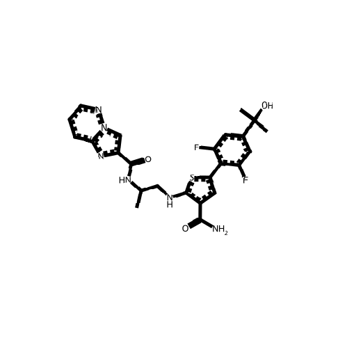 CC(CNc1sc(-c2c(F)cc(C(C)(C)O)cc2F)cc1C(N)=O)NC(=O)c1cn2ncccc2n1